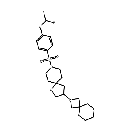 O=S(=O)(c1ccc(OC(F)F)cc1)N1CCC2(CC1)CC(N1CC3(CCCOC3)C1)CO2